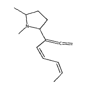 C=C=C(/C=C\C=C/C)C1CCC(C)N1C